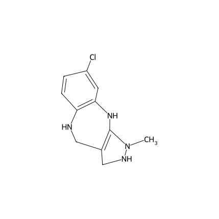 CN1NCC2=C1Nc1cc(Cl)ccc1NC2